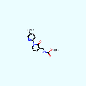 COc1ccc(-n2cccc(CNC(=O)OC(C)(C)C)c2=O)nc1